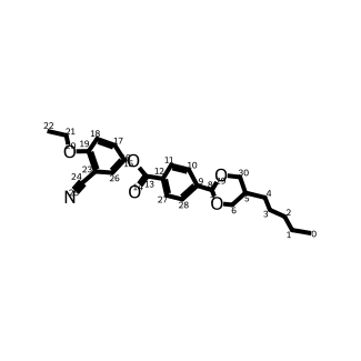 CCCCCC1COC(c2ccc(C(=O)Oc3ccc(OCC)c(C#N)c3)cc2)OC1